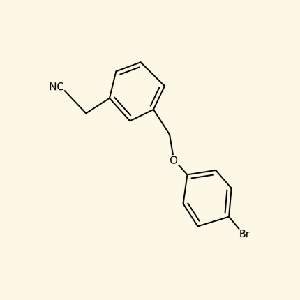 N#CCc1cccc(COc2ccc(Br)cc2)c1